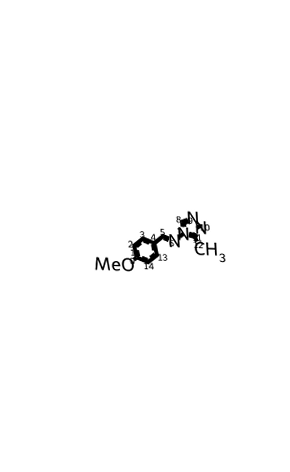 COc1ccc(C=Nn2cnnc2C)cc1